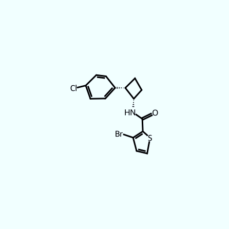 O=C(N[C@H]1CC[C@H]1c1ccc(Cl)cc1)c1sccc1Br